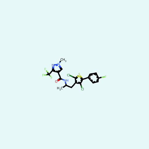 CC(Cc1c(Cl)sc(-c2ccc(F)cc2)c1Cl)NC(=O)c1cn(C)nc1C(F)(F)F